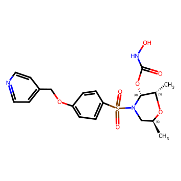 C[C@@H]1O[C@@H](C)CN(S(=O)(=O)c2ccc(OCc3ccncc3)cc2)[C@@H]1OC(=O)NO